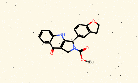 CC(C)(C)OC(=O)N1Cc2c([nH]c3ccccc3c2=O)[C@H]1c1ccc2c(c1)CCO2